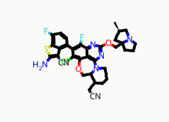 C[C@H]1CN2CCCC2(COc2nc3c4c(c(Cl)c(-c5ccc(F)c6sc(N)c(C#N)c56)c(F)c4n2)OCC2C(CC#N)CCCN32)C1